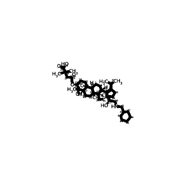 CC(C)C1=C2[C@H]3CC[C@@H]4[C@@]5(C)CC[C@H](OC(=O)CC(C)(C)C(=O)O)C(C)(C)[C@@H]5CC[C@@]4(C)[C@]3(C)CC[C@@]2([C@H](O)CNCC2CCCCC2)CC1